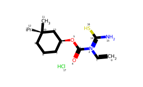 C=C[N+](C(=O)O[C@H]1CCC[C@@](C)(C(C)C)C1)=C(N)S.Cl